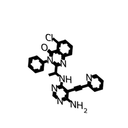 CC(Nc1ncnc(N)c1C#Cc1ccccn1)c1nc2cccc(Cl)c2c(=O)n1-c1ccccc1